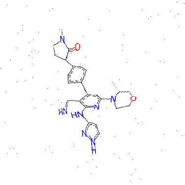 C[C@@H]1COCCN1c1cc(-c2ccc(C3CCN(C)C3=O)cc2)c(C=N)c(Nc2cc[nH]n2)n1